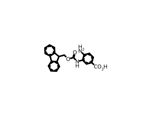 Nc1ccc(C(=O)O)cc1NC(=O)OCC1c2ccccc2-c2ccccc21